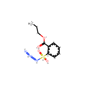 CCCOC(=O)c1ccccc1S(=O)(=O)N=[N+]=[N-]